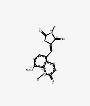 COc1ccc(C=C2SC(=O)N(C)C2=O)c2ccc(=O)n(C)c12